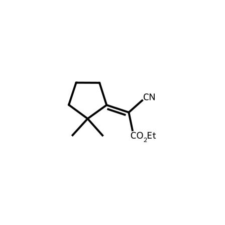 CCOC(=O)C(C#N)=C1CCCC1(C)C